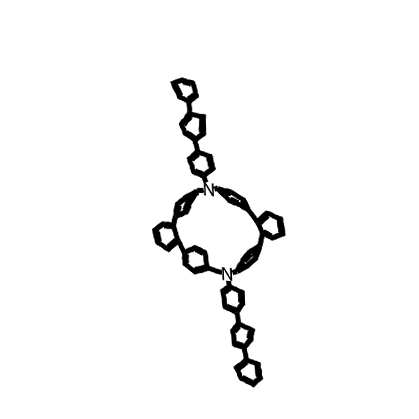 c1ccc(-c2ccc(-c3ccc(N4c5ccc(cc5)-c5ccccc5-c5ccc(cc5)N(c5ccc(-c6ccc(-c7ccccc7)cc6)cc5)c5ccc(cc5)-c5ccccc5-c5ccc4cc5)cc3)cc2)cc1